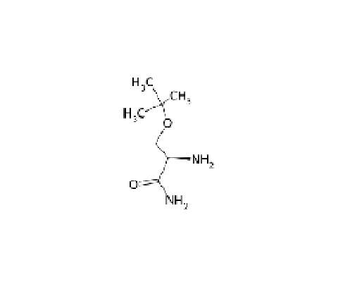 CC(C)(C)OC[C@@H](N)C(N)=O